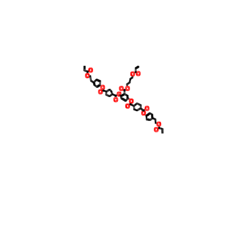 C=CC(=O)OCCCCOC(=O)c1cc(OC(=O)C2CCC(C(=O)Oc3ccc(CCOC(=O)C=C)cc3)CC2)ccc1OC(=O)C1CCC(C(=O)Oc2ccc(CCOC(=O)C=C)cc2)CC1